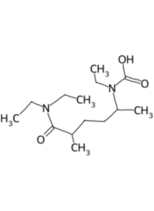 CCN(CC)C(=O)C(C)CCC(C)N(CC)C(=O)O